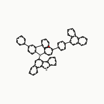 c1ccc(-c2ccc(N(c3ccc(-c4ccc(-c5cc6ccccc6c6ccccc56)cc4)cc3)c3cc4ccccc4c4sc5ccccc5c34)c(-c3ccccc3)c2)cc1